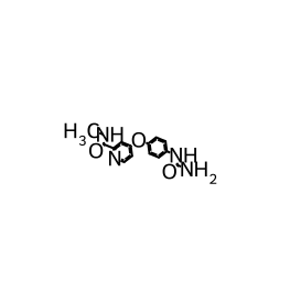 CNC(=O)c1cc(Oc2ccc(NC(N)=O)cc2)ccn1